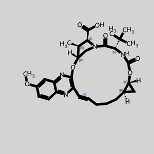 COc1ccc2nc3c(nc2c1)O[C@H]1CN(C(=O)[C@H](C(C)(C)C)NC(=O)O[C@@H]2C[C@H]2CCC/C=C/3)[C@H](C(=O)O)[C@@H]1C